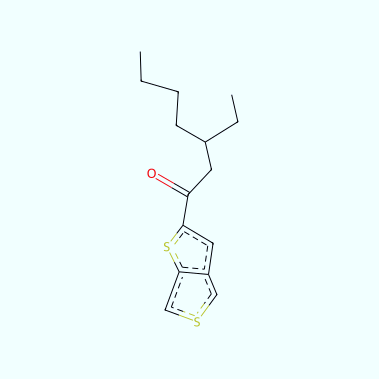 CCCCC(CC)CC(=O)c1cc2cscc2s1